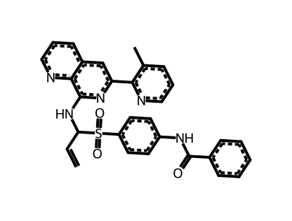 C=CC(Nc1nc(-c2ncccc2C)cc2cccnc12)S(=O)(=O)c1ccc(NC(=O)c2ccccc2)cc1